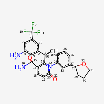 C[C@H](c1cc(N)cc(C(F)(F)F)c1)c1c(C(N)=O)ccc(=O)n1-c1cccc(C2CCCO2)c1